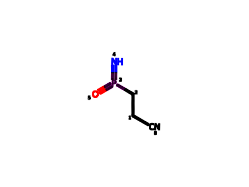 N#CCCP(=N)=O